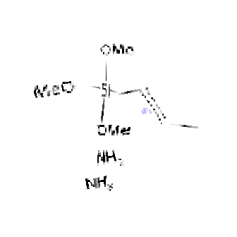 C/C=C/[Si](OC)(OC)OC.N.N